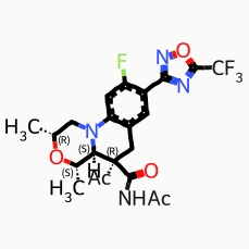 CC(=O)NC(=O)[C@]1(C(C)=O)Cc2cc(-c3noc(C(F)(F)F)n3)c(F)cc2N2C[C@@H](C)O[C@@H](C)[C@@H]21